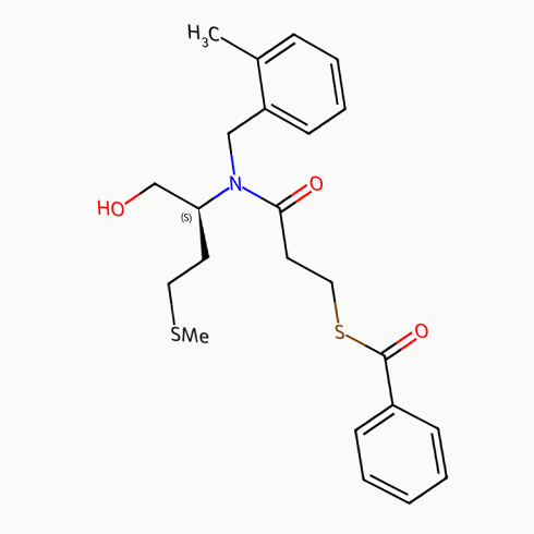 CSCC[C@@H](CO)N(Cc1ccccc1C)C(=O)CCSC(=O)c1ccccc1